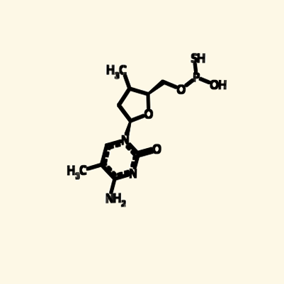 Cc1cn([C@H]2CC(C)[C@@H](COP(O)S)O2)c(=O)nc1N